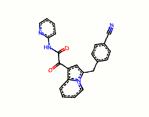 N#Cc1ccc(Cc2cc(C(=O)C(=O)Nc3ccccn3)c3ccccn23)cc1